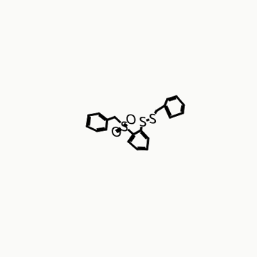 O=S(=O)(Cc1ccccc1)c1ccccc1SSCc1ccccc1